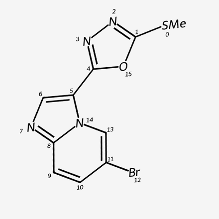 CSc1nnc(-c2cnc3ccc(Br)cn23)o1